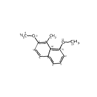 [CH2]c1c(OC)ccc2cccc(OC)c12